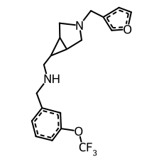 FC(F)(F)Oc1cccc(CNCC2C3CN(Cc4ccoc4)CC23)c1